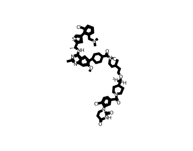 [2H]C([2H])(OCCC1CCN(C(=O)C2CCC(c3cc4c(N[C@H](C)c5cc(-c6c(Cl)cccc6CN(C)C)cs5)nc(C)nc4cc3OC)CC2)CC1)C1CCN(C(=O)c2ccc(Cl)c(N3CCC(=O)NC3=O)c2)CC1